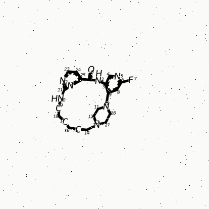 O=C1Nc2cnc(F)cc2N2CCN(CCCCCCNc3nccc1n3)CC2